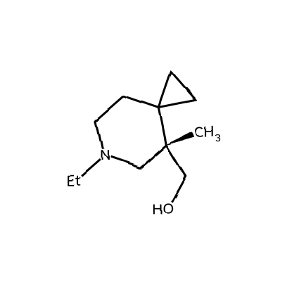 CCN1CCC2(CC2)[C@](C)(CO)C1